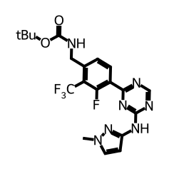 Cn1ccc(Nc2ncnc(-c3ccc(CNC(=O)OC(C)(C)C)c(C(F)(F)F)c3F)n2)n1